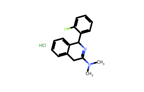 CN(C)C1=NC(c2ccccc2F)c2ccccc2C1.Cl